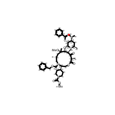 CO[C@]1(C)C[C@@H](C)CN(C(=O)OCc2ccccc2)[C@H](C2CCN(C(=O)OC(C)(C)C)CC2)COC(=O)[C@H](C)C(=O)[C@H](C)[C@H]1O[C@@H]1O[C@H](C)C[C@H](N(C)C)[C@H]1OC(=O)c1ccccc1